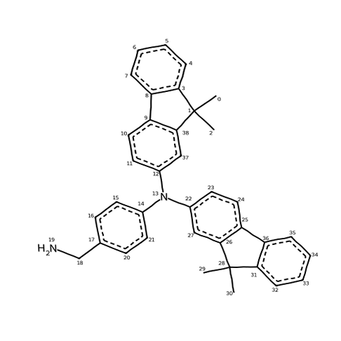 CC1(C)c2ccccc2-c2ccc(N(c3ccc(CN)cc3)c3ccc4c(c3)C(C)(C)c3ccccc3-4)cc21